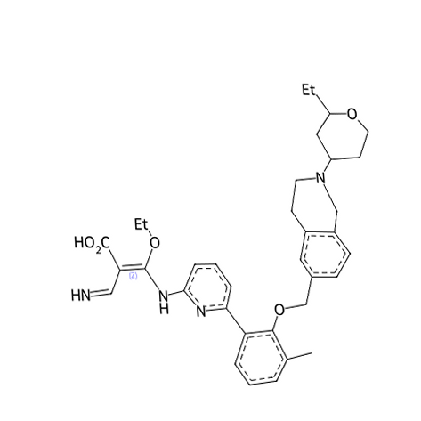 CCO/C(Nc1cccc(-c2cccc(C)c2OCc2ccc3c(c2)CCN(C2CCOC(CC)C2)C3)n1)=C(/C=N)C(=O)O